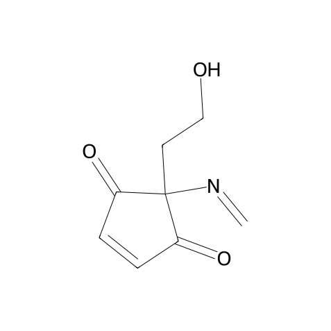 C=NC1(CCO)C(=O)C=CC1=O